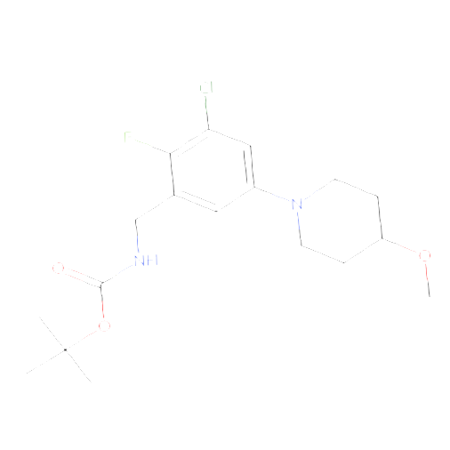 COC1CCN(c2cc(Cl)c(F)c(CNC(=O)OC(C)(C)C)c2)CC1